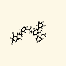 CCCOc1c(-c2ccccc2)cc(/N=C(\C)c2cccc(/C(C)=N/c3c(C)cc(C)cc3C)n2)cc1-c1ccccc1